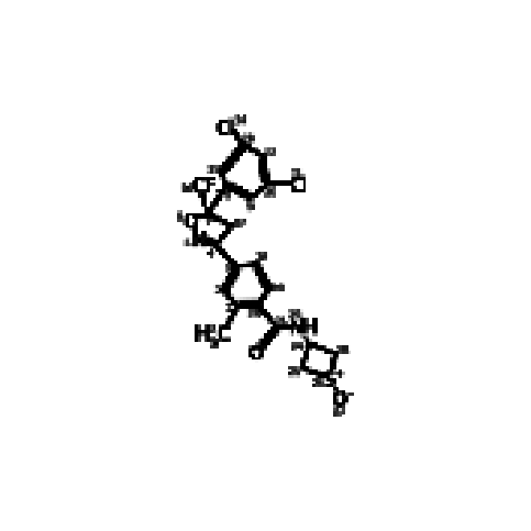 Cc1cc(C2=NO[C@@](c3cc(Cl)cc(Cl)c3)(C(F)(F)F)C2)ccc1C(=O)N[C@H]1C[S@+]([O-])C1